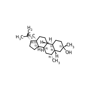 C=C(C)[C@H]1CC[C@H]2[C@@H]3C[C@@H](C)[C@H]4C[C@@](C)(O)CC[C@@H]4[C@H]3CC[C@]12C